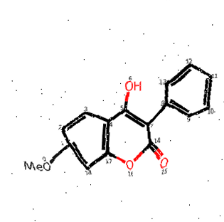 COc1ccc2c(O)c(-c3ccccc3)c(=O)oc2c1